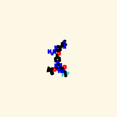 C#CC1(COc2nc(C(=O)NCC(C)(F)F)nc(N3CCC(COc4cc(-c5cn(C)cn5)cnc4N)CC3)n2)CC1